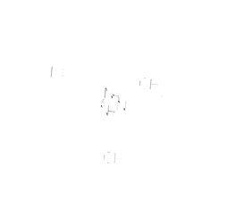 [CH2]CCc1nc(CCCCC)nc(CCCCC)n1